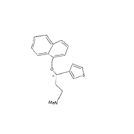 CNCC[C@H](Oc1cccc2ccccc12)c1ccsc1